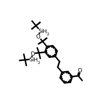 CC(=O)c1cccc(CCc2ccc(C(C)(C)O[SiH2]C(C)(C)C)c(C(C)(C)O[SiH2]C(C)(C)C)c2)c1